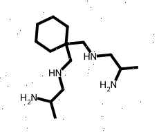 CC(N)CNCC1(CNCC(C)N)CCCCC1